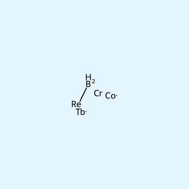 [BH2][Re].[Co].[Cr].[Tb]